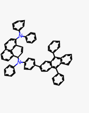 C1=CC(N(c2ccccc2)c2ccc(-c3ccc4c(-c5ccccc5)c5ccccc5c(-c5ccccc5)c4c3)cc2)c2cccc3ccc(N(c4ccccc4)c4ccccc4)c1c23